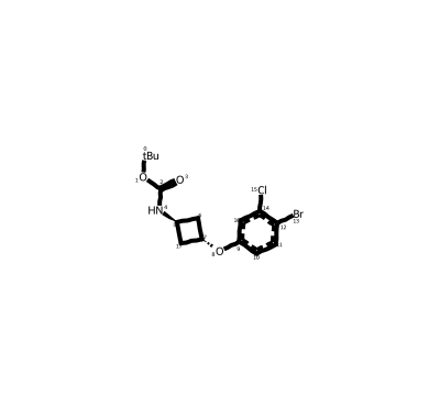 CC(C)(C)OC(=O)N[C@H]1C[C@H](Oc2ccc(Br)c(Cl)c2)C1